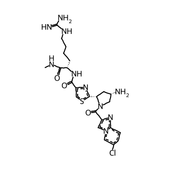 CNC(=O)[C@H](CCCCNC(=N)N)NC(=O)c1csc([C@@H]2C[C@H](N)CN2C(=O)c2cn3cc(Cl)ccc3n2)n1